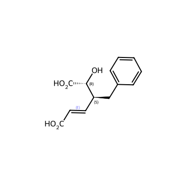 O=C(O)/C=C/[C@H](Cc1ccccc1)[C@@H](O)C(=O)O